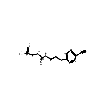 N#Cc1ccc(OCCNC(=O)OCC(N)=O)cc1